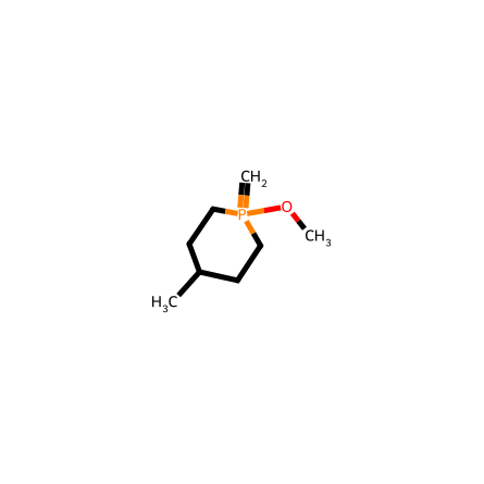 C=P1(OC)CCC(C)CC1